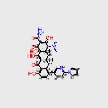 CN(C)[C@H]1C(O)=C(C(N)=O)C(=O)[C@]2(O)C(O)=C3C(=O)c4c(O)ccc(-c5ccc(-n6cccc6)nc5)c4C[C@H]3C[C@@H]12